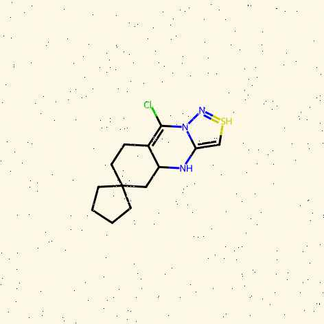 ClC1=C2CCC3(CCCC3)CC2NC2=C[SH]=NN21